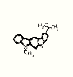 CC(C)c1ccc2sc3cc4c(cc3c2c1)c1ccccc1n4C